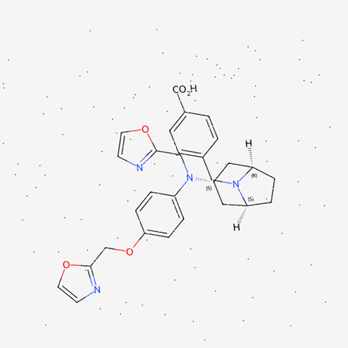 O=C(O)c1ccc(CN2[C@@H]3CC[C@H]2C[C@H](N(Cc2ncco2)c2ccc(OCc4ncco4)cc2)C3)cc1